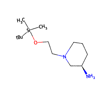 CC(C)(C)[Si](C)(C)OCCN1CCC[C@@H](N)C1